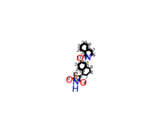 O=C1NC(=O)C([C@H]2CCCc3cc(Oc4nccc5ccccc45)ccc32)S1